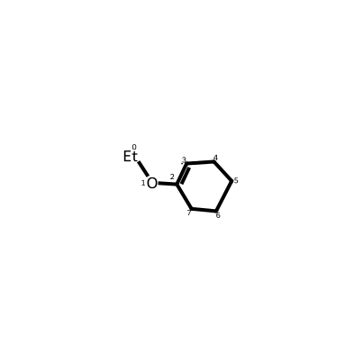 CCOC1=[C]CCCC1